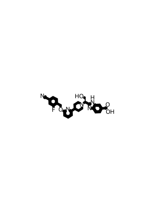 N#Cc1ccc(COc2cccc(C3CCN([C@@H](CO)c4nc5ccc(C(=O)O)cc5[nH]4)CC3)n2)c(F)c1